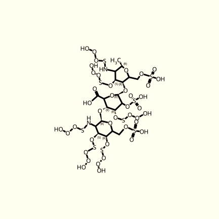 C[C@H]1OC(COS(=O)(=O)O)[C@@H](O[C@@H]2OC(C(=O)O)[C@@H](O[C@H]3OC(COS(=O)(=O)O)[C@@H](OSOOO)[C@@H](OSOOO)C3NSOOO)[C@@H](OSOOO)C2OS(=O)(=O)O)[C@@H](OSOOO)C1NSOOO